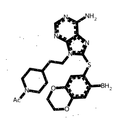 Bc1cc2c(cc1Sc1nc3c(N)ncnc3n1CCC1CCN(C(C)=O)CC1)OCCO2